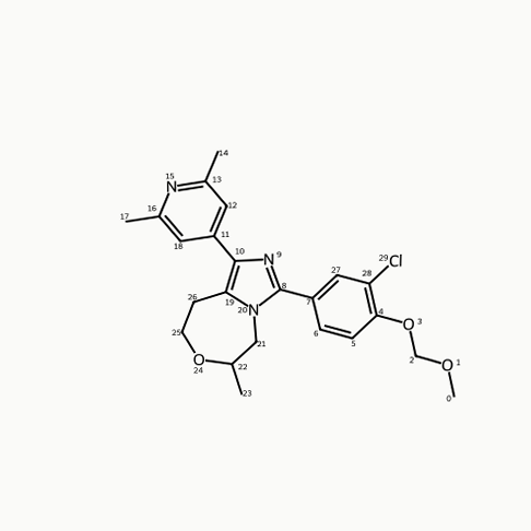 COCOc1ccc(-c2nc(-c3cc(C)nc(C)c3)c3n2CC(C)OCC3)cc1Cl